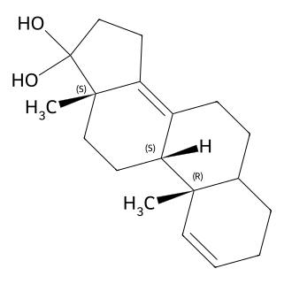 C[C@]12C=CCCC1CCC1=C3CCC(O)(O)[C@@]3(C)CC[C@H]12